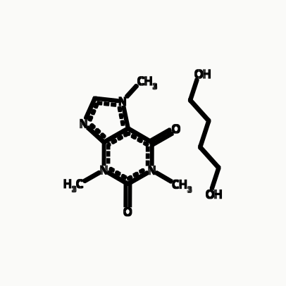 Cn1c(=O)c2c(ncn2C)n(C)c1=O.OCCCCO